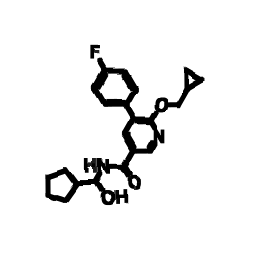 O=C(NC(O)C1CCCC1)c1cnc(OCC2CC2)c(-c2ccc(F)cc2)c1